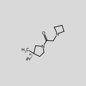 CC(C)[C@@]1(C)CCN(C(=O)CN2CCC2)C1